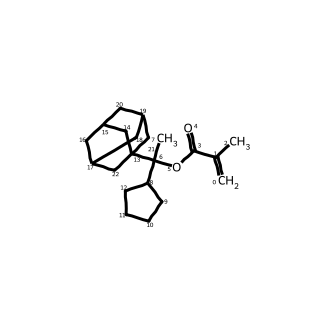 C=C(C)C(=O)OC(C)(C1CCCC1)C12CC3CC(CC(C3)C1)C2